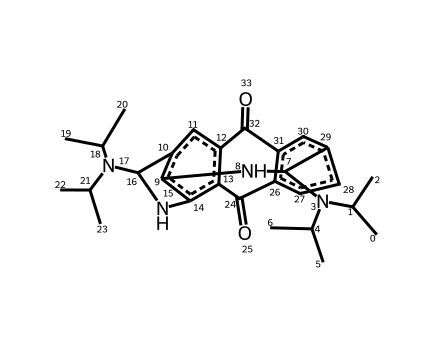 CC(C)N(C(C)C)C1Nc2c3cc4c(c2NC3N(C(C)C)C(C)C)C(=O)c2ccc1cc2C4=O